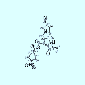 CC(C)[C@H]1C(=O)N2C(C(=O)OC(=O)c3ccc([N+](=O)[O-])cc3)=C(CN3CC[C@H](C#N)C3)[C@H](C)[C@H]12